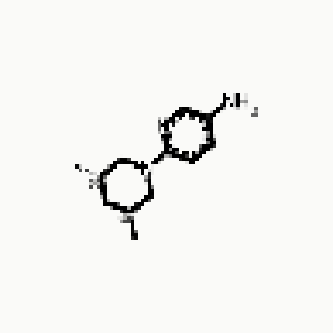 C[C@H]1C[C@H](C)CN(c2ccc(N)cn2)C1